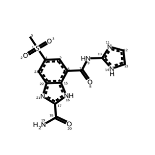 CS(=O)(=O)c1cc(C(=O)Nc2ncc[nH]2)c2[nH]c(C(N)=O)nc2c1